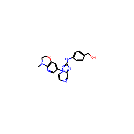 CN1CCOc2cc([N+]34C=CN=CC3=NC(Nc3ccc(CO)cc3)=N4)cnc21